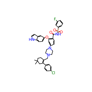 CC1(C)CCC(CN2CCN(c3ccc(C(=O)NS(=O)(=O)c4cccc(F)c4)c(Oc4ccc5[nH]ccc5c4)c3)CC2)=C(c2ccc(Cl)cc2)C1